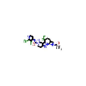 O=C(Nc1ccnc(Br)c1F)N1CCc2nn3c(c2C1)C(F)(F)CCC(CNC(=O)C(F)(F)F)C3